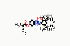 C=C(C)C(=O)Oc1ccc2c(c1)n1n(-c3cc(C(C)(C)C)cc(C(C)(C)C)c3O)n21